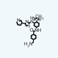 CS(=O)(=O)c1ccc(NC(=O)c2ccc(CN)cc2)cc1Nc1nc(-c2cccnc2)cs1